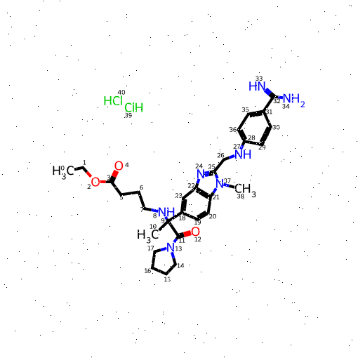 CCOC(=O)CCCNC(C)(C(=O)N1CCCC1)c1ccc2c(c1)nc(CNc1ccc(C(=N)N)cc1)n2C.Cl.Cl